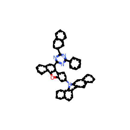 c1ccc(-c2nc(-c3ccc4ccccc4c3)nc(-c3cc4ccccc4c4oc5cc(-n6c7cc8ccccc8cc7c7ccc8ccccc8c76)ccc5c34)n2)cc1